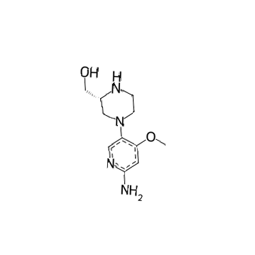 COc1cc(N)ncc1N1CCN[C@@H](CO)C1